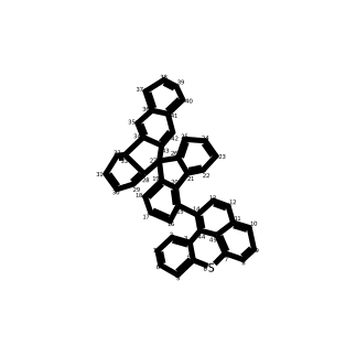 c1ccc2c(c1)Sc1cccc3ccc(-c4cccc5c4-c4ccccc4C54c5ccccc5-c5cc6ccccc6cc54)c-2c13